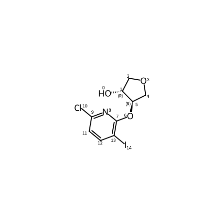 O[C@@H]1COC[C@H]1Oc1nc(Cl)ccc1I